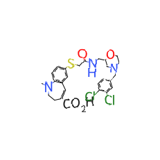 CN1CCC(C(=O)O)=Cc2cc(SCC(=O)NCC3CN(Cc4ccc(Cl)c(Cl)c4)CCO3)ccc21